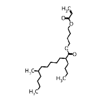 C=CC(=O)OCCCCOC(=O)C(CCCC)CCCCCC(C)CCCC